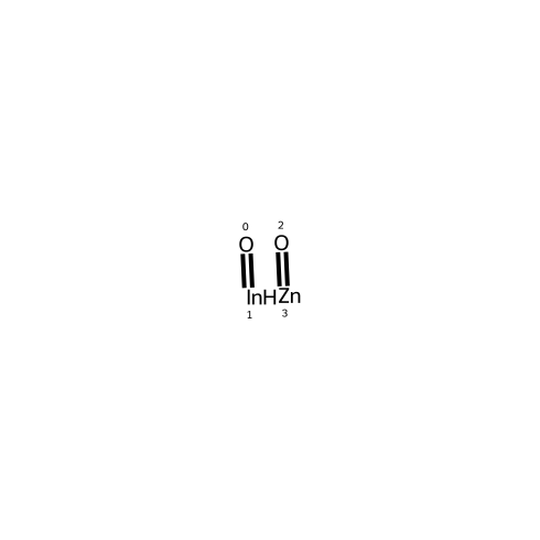 [O]=[InH].[O]=[Zn]